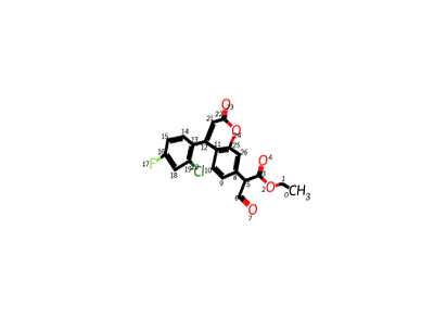 CCOC(=O)C(C=O)c1ccc2c(-c3ccc(F)cc3Cl)cc(=O)oc2c1